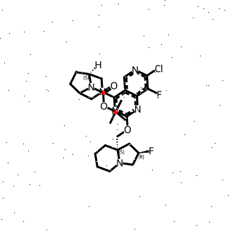 CC(C)(C)OC(=O)N1C2CC[C@H]1CN(c1nc(OC[C@@]34CCCCN3C[C@H](F)C4)nc3c(F)c(Cl)ncc13)C2